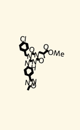 COC(=O)[C@@H](C)Cn1c(=O)[nH]/c(=N\C2C=CC(c3noc(C)n3)=CC2)n(Cc2ccc(Cl)cc2)c1=O